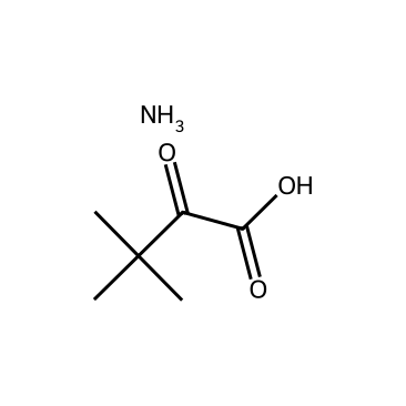 CC(C)(C)C(=O)C(=O)O.N